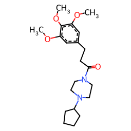 COc1cc(CCC(=O)N2CCN(C3CCCC3)CC2)cc(OC)c1OC